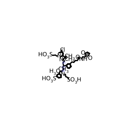 CC1(C)C(/C=C/C(=C/C=C2/N(CCCS(=O)(=O)O)c3ccc(S(=O)(=O)O)cc3C2(C)C)c2cccc(CCCCC(=O)NCCN3C(=O)C=CC3=O)c2)=Nc2c1cc(Cl)c[n+]2CCCS(=O)(=O)O